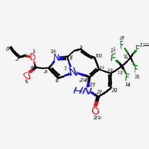 CCOC(=O)c1cn2c(ccc3c(C(F)(F)C(F)(F)F)cc(=O)[nH]c32)n1